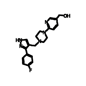 OCc1ccc(N2CCN(Cc3c[nH]nc3-c3ccc(F)cc3)CC2)nc1